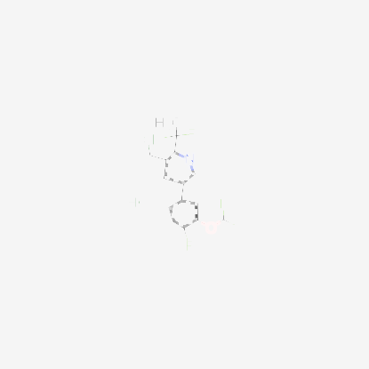 CC(F)(F)c1ncc(-c2ccc(F)c(OC(F)F)c2)cc1CCl.Cl